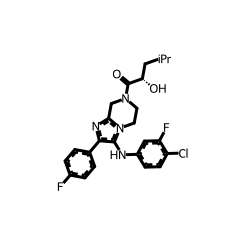 CC(C)C[C@H](O)C(=O)N1CCn2c(nc(-c3ccc(F)cc3)c2Nc2ccc(Cl)c(F)c2)C1